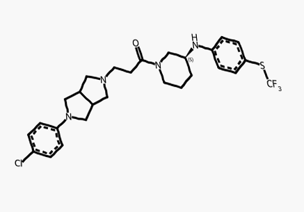 O=C(CCN1CC2CN(c3ccc(Cl)cc3)CC2C1)N1CCC[C@H](Nc2ccc(SC(F)(F)F)cc2)C1